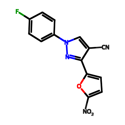 N#Cc1cn(-c2ccc(F)cc2)nc1-c1ccc([N+](=O)[O-])o1